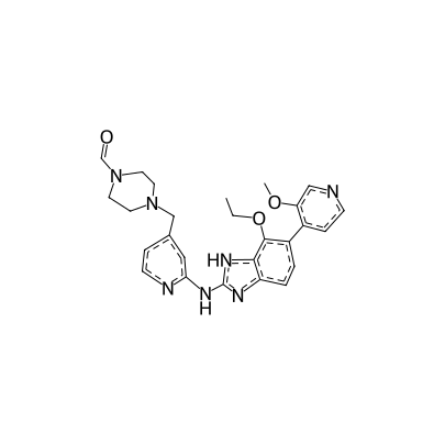 CCOc1c(-c2ccncc2OC)ccc2nc(Nc3cc(CN4CCN(C=O)CC4)ccn3)[nH]c12